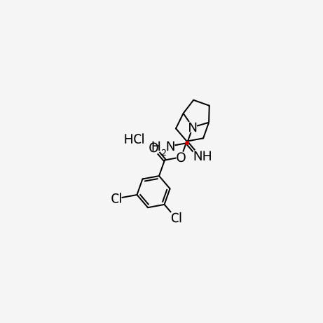 Cl.N=C(N)N1C2CCC1CC(OC(=O)c1cc(Cl)cc(Cl)c1)C2